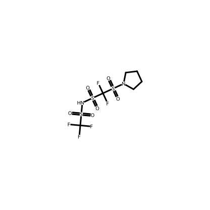 O=S(=O)(NS(=O)(=O)C(F)(F)S(=O)(=O)N1CCCC1)C(F)(F)F